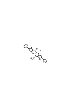 Cc1c2cc3cc(-c4cccs4)sc3c(C)c2cc2cc(-c3cccs3)sc12